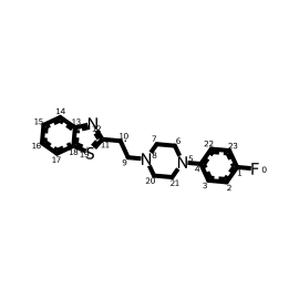 Fc1ccc(N2CCN(C[CH]c3nc4ccccc4s3)CC2)cc1